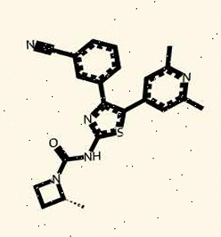 Cc1cc(-c2sc(NC(=O)N3CC[C@H]3C)nc2-c2cccc(C#N)c2)cc(C)n1